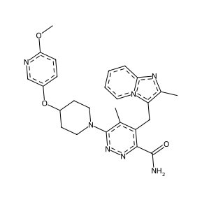 COc1ccc(OC2CCN(c3nnc(C(N)=O)c(Cc4c(C)nc5ccccn45)c3C)CC2)cn1